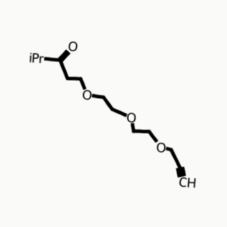 C#CCOCCOCCOCCC(=O)C(C)C